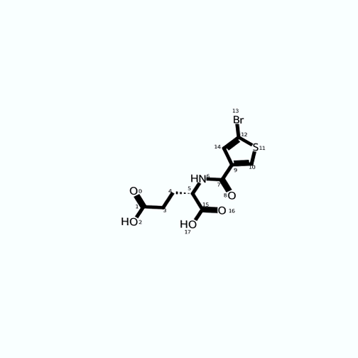 O=C(O)CC[C@H](NC(=O)c1csc(Br)c1)C(=O)O